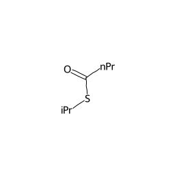 CCCC(=O)SC(C)C